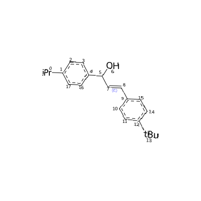 CC(C)c1ccc(C(O)/C=C/c2ccc(C(C)(C)C)cc2)cc1